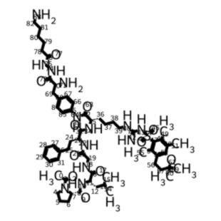 CC(=O)N1CCC[C@H]1C(=O)N[C@@H](CC(C)C)C(=O)NCC(=O)N[C@@H](CCc1ccccc1)C(=O)N[C@@H](CCCCNC(=N)NS(=O)(=O)c1c(C)c(C)c2c(c1C)CCC(C)(C)O2)C(=O)Nc1ccc(C[C@@H](N)C(=O)NNC(=O)CCCCCN)cc1